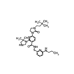 CCCNc1cccc(SNC(=O)c2ccc(N3CCN(CCC(C)(C)C)C3=O)nc2N2CNCC2(C)C)n1